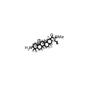 C=CCN(OC)C(=O)[C@@]1(C)CC[C@]2(C)CC[C@]3(C)C(=CC(=O)[C@@H]4[C@@]5(C)CC[C@H](N)C(C)(C)C5CC[C@]43C)[C@@H]2C1